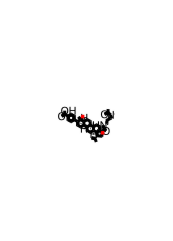 C=C(C)[C@@H]1CC[C@]2(C(=O)NCCCN(C)C(C)=O)CC[C@]3(C)[C@H](CC[C@@H]4[C@@]5(C)CC=C(c6ccc(C(=O)O)cc6)C(C)(C)[C@@H]5CC[C@]43C)[C@@H]12